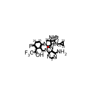 Nc1ncnc2c1ncn2Cc1c(N2CCC(N)(C(=O)NC3CC3)C2)ccc(F)c1[C@H](O)C(F)(F)F